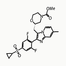 COC(=O)N1CCO[C@@H](Cc2c(-c3c(F)cc(S(=O)(=O)C4CC4)cc3F)nc3cc(C)ccn23)C1